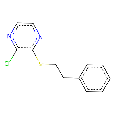 Clc1nccnc1SCCc1ccccc1